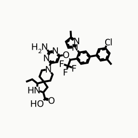 CCC1NC(C(=O)O)CC12CCN(c1cc(O[C@H](c3ccc(-c4cc(C)cc(Cl)c4)cc3-n3ccc(C)n3)C(F)(F)F)nc(N)n1)CC2